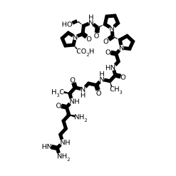 C[C@H](NC(=O)CNC(=O)[C@H](C)NC(=O)[C@@H](N)CCCNC(=N)N)C(=O)NCC(=O)N1CCC[C@H]1C(=O)N1CCC[C@H]1C(=O)N[C@@H](CO)C(=O)N1CCC[C@H]1C(=O)O